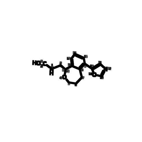 O=C(O)NC[C@@H]1OCCCc2c(-c3cnco3)cccc21